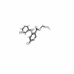 CCOC(=O)c1cnc(Cl)cc1NC1CCCNC1